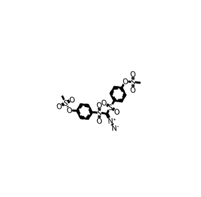 CS(=O)(=O)Oc1ccc(S(=O)(=O)C(=[N+]=[N-])S(=O)(=O)c2ccc(OS(C)(=O)=O)cc2)cc1